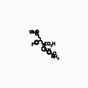 CC(C)(C)[Si](C)(C)OCCC[C@@H](CCN(C(=O)O)[C@H]1CCCN(c2ccc(C(N)=O)cn2)C1)c1ccc(F)cc1